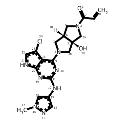 C=CC(=O)N1C[C@H]2CN(c3nc(Nc4cnn(C)c4)nc4[nH]cc(Cl)c34)C[C@@]2(O)C1